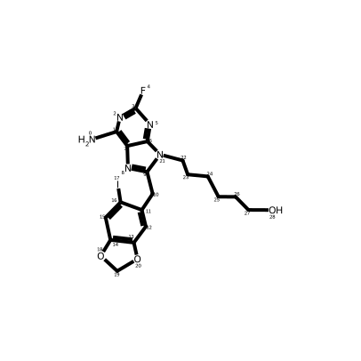 Nc1nc(F)nc2c1nc(Cc1cc3c(cc1I)OCO3)n2CCCCCCO